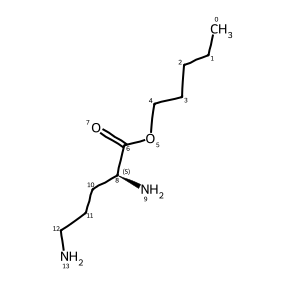 CCCCCOC(=O)[C@@H](N)CCCN